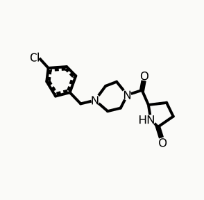 O=C1CCC(C(=O)N2CCN(Cc3ccc(Cl)cc3)CC2)N1